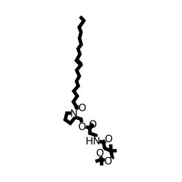 CCCCCCCCC=CCCCCCCCC(=O)N1CCCC1COC(=O)CCNC(=O)C1OC(C)(C)OCC1(C)C